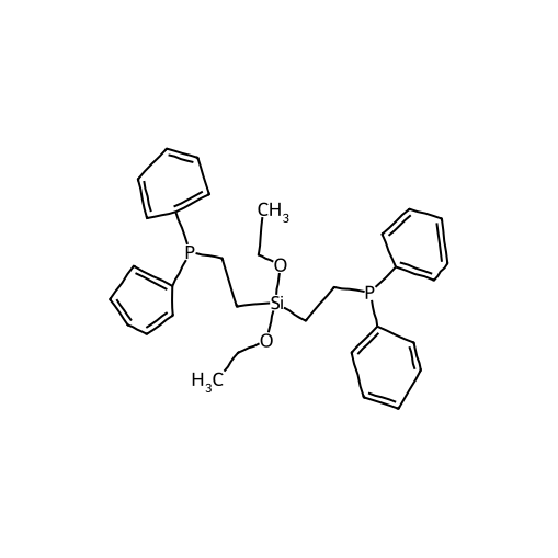 CCO[Si](CCP(c1ccccc1)c1ccccc1)(CCP(c1ccccc1)c1ccccc1)OCC